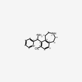 NC(c1ccccn1)c1c(Cl)ccc2c1CCNCC2